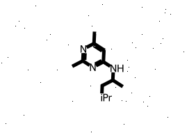 Cc1cc(NC(C)CC(C)C)nc(C)n1